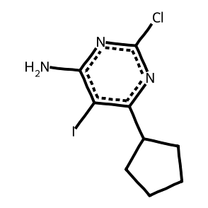 Nc1nc(Cl)nc(C2CCCC2)c1I